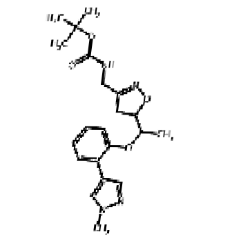 CC(Oc1ccccc1-c1cnn(C)c1)C1CC(CNC(=O)OC(C)(C)C)=NO1